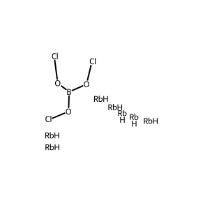 ClOB(OCl)OCl.[RbH].[RbH].[RbH].[RbH].[RbH].[RbH].[RbH]